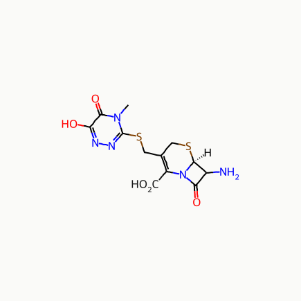 Cn1c(SCC2=C(C(=O)O)N3C(=O)C(N)[C@@H]3SC2)nnc(O)c1=O